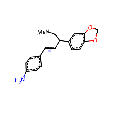 CNCC(/C=C/c1ccc(N)cc1)c1ccc2c(c1)OCO2